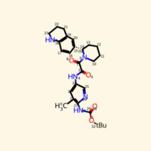 Cc1cc(NC(=O)C(=O)N2CCCC[C@H]2c2ccc3c(c2)CCCN3)cnc1NC(=O)OC(C)(C)C